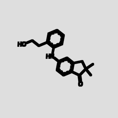 CC1(C)Cc2cc(Nc3ccccc3CCO)ccc2C1=O